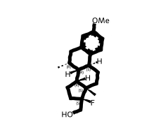 COc1ccc2c(c1)C[C@@H](C)[C@@H]1[C@@H]2CC[C@@]2(C)[C@@H]1CC[C@@]2(F)CO